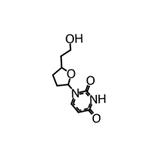 O=c1ccn(C2CCC(CCO)O2)c(=O)[nH]1